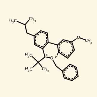 COc1ccc(F)c(-c2ccc(CC(C)C)cc2[C@@H](OCc2ccccc2)C(C)(C)C)c1